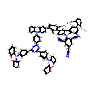 Cc1cccc(C)c1-c1ccc2c(c1)c1cc(-c3c(C)ccc(-c4ccc5c(c4)Oc4ccccc4N5c4ccc(-c5nc(-c6ccc(N7c8ccccc8Oc8ccccc87)cc6)nc(-c6ccc(N7c8ccccc8Oc8ccccc87)cc6)n5)cc4)c3C)ccc1n2-c1c(C#N)cc(C#N)cc1C#N